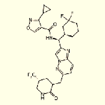 O=C(N[C@H](c1cn2nc(CC3C[C@@H](C(F)(F)F)CNC3=O)ccc2n1)[C@@H]1CCCC(F)(F)C1)c1conc1C1CC1